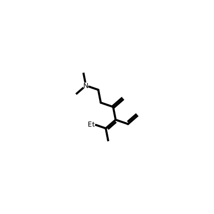 C=C/C(C(=C)CCN(C)C)=C(\C)CC